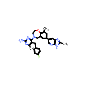 Cc1nc2cc(-c3cc(C)c4c(c3)CN(c3nc(N)nc(C)c3Cc3ccc(F)cc3)CCO4)cnc2[nH]1